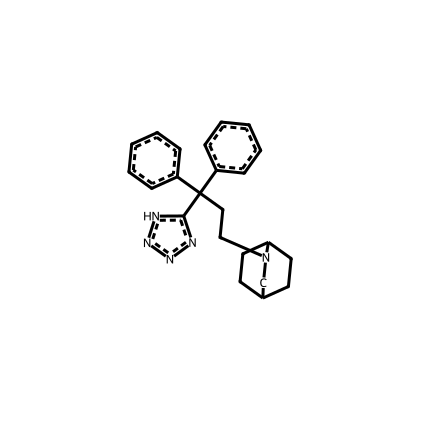 c1ccc(C(CCN2CC3CCC2CC3)(c2ccccc2)c2nnn[nH]2)cc1